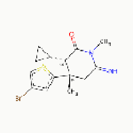 CN1C(=N)C[C@](C)(c2cc(Br)cs2)[C@H](C2CC2)C1=O